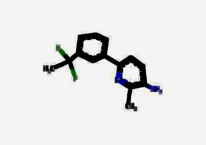 Cc1nc(-c2cccc(C(C)(F)F)c2)ccc1N